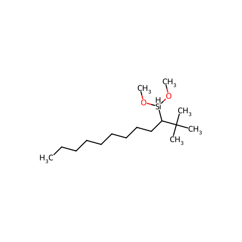 CCCCCCCCCC([SiH](OC)OC)C(C)(C)C